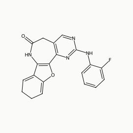 O=C1Cc2cnc(Nc3ccccc3F)nc2-c2oc3c(c2N1)=CCCC=3